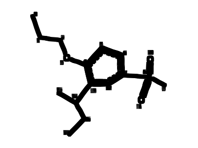 CCCOc1ccc(S(C)(=O)=O)cc1C(C)CC